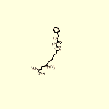 CN/C(N)=C/C=C(\N)CCCCc1nnc(NC(=O)NCc2ccccc2)s1